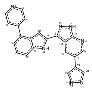 c1cc(-c2ccncc2)c2cc(-c3n[nH]c4ncc(-c5cn[nH]c5)cc34)[nH]c2c1